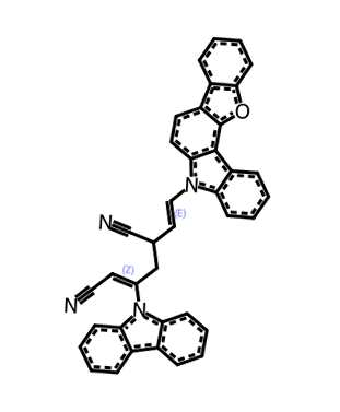 N#C/C=C(/CC(C#N)/C=C/n1c2ccccc2c2c3oc4ccccc4c3ccc21)n1c2ccccc2c2ccccc21